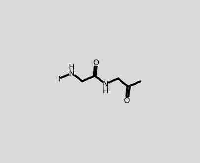 CC(=O)CNC(=O)CNI